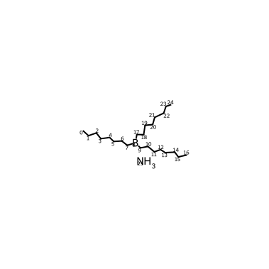 CCCCCCCCB(CCCCCCCC)CCCCCCCC.N